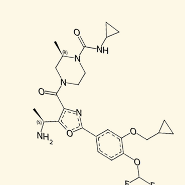 C[C@H](N)c1oc(-c2ccc(OC(F)F)c(OCC3CC3)c2)nc1C(=O)N1CCN(C(=O)NC2CC2)[C@H](C)C1